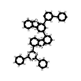 c1ccc(-c2cccc(-c3cc(-c4cccc5sc6c(-c7nc(-c8ccccc8)nc(-c8ccccc8)n7)cccc6c45)cc4c3oc3ccccc34)c2)cc1